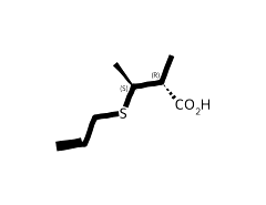 C=CCS[C@@H](C)[C@H](C)C(=O)O